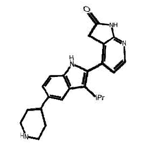 CC(C)c1c(-c2ccnc3c2CC(=O)N3)[nH]c2ccc(C3CCNCC3)cc12